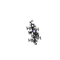 CCc1ccc2c(c1)N/C(=C(\C#N)c1nc(NC(=O)[C@@H]3CSCN3)ncc1C)N2